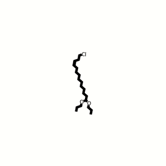 CCCOC(CCCCCCCCC/C=C\CCCl)OCCC